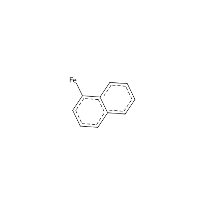 [Fe][c]1cccc2ccccc12